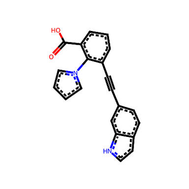 O=C(O)c1cccc(C#Cc2ccc3cc[nH]c3c2)c1-n1cccc1